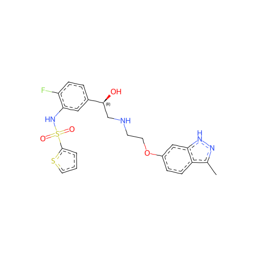 Cc1n[nH]c2cc(OCCNC[C@H](O)c3ccc(F)c(NS(=O)(=O)c4cccs4)c3)ccc12